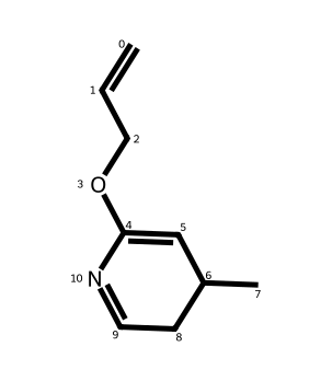 C=CCOC1=CC(C)CC=N1